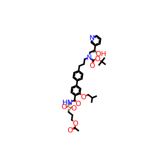 CC(=O)OCCCS(=O)(=O)NC(=O)c1ccc(-c2ccc(CCCN(C[C@H](O)c3cccnc3)C(=O)OC(C)(C)C)cc2)cc1OCC(C)C